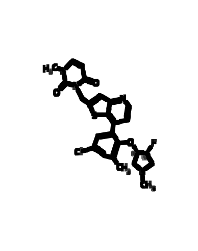 Cc1cc(Cl)cc(-c2ccnc3cc(Cn4c(=O)ccn(C)c4=O)sc23)c1O[C@@H]1CN(C)C[C@@H]1F